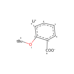 CC(C)(C)Oc1ccccc1C(=O)[O-].[Li+]